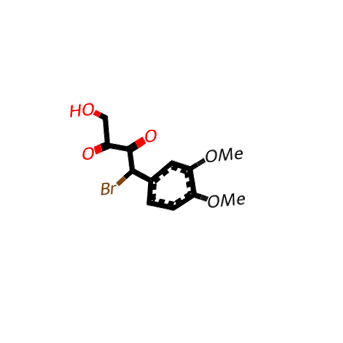 COc1ccc(C(Br)C(=O)C(=O)CO)cc1OC